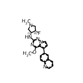 COc1nc(N[C@H]2CN(C)C[C@H]2F)nn2ccc(-c3ccc4ncccc4c3)c12